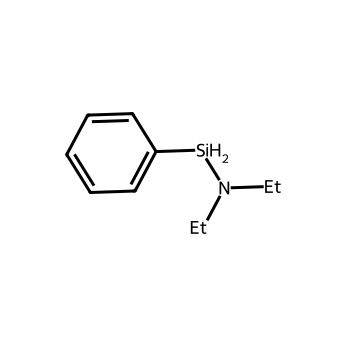 CCN(CC)[SiH2]c1ccccc1